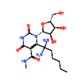 CCCCCC(N)(N)c1c(C(=O)NC)c(=O)[nH]c(=O)n1[C@@H]1O[C@H](CO)[C@@H](O)[C@H]1O